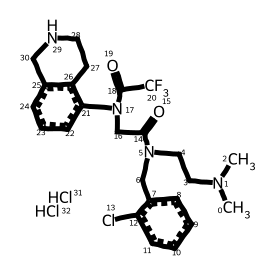 CN(C)CCN(Cc1ccccc1Cl)C(=O)CN(C(=O)C(F)(F)F)c1cccc2c1CCNC2.Cl.Cl